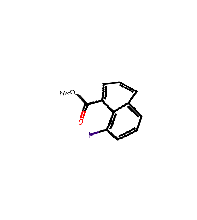 COC(=O)c1cccc2cccc(I)c12